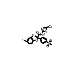 CC(Oc1ccc(F)cc1F)(C(=O)Nc1ncc(Cl)s1)c1ccc(S(C)(=O)=O)cc1